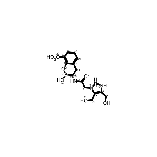 O=C(CN1NNC(CO)=C1CO)N[C@H]1Cc2cccc(C(=O)O)c2OB1O